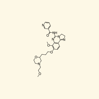 COCCN1CCOC(CCCOc2ccc3c(c2OC)N=C(NC(=O)c2cccnc2)N2CCN=C32)C1